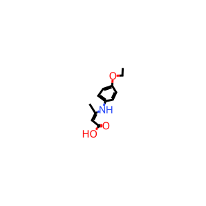 CCOc1ccc(N/C(C)=C\C(=O)O)cc1